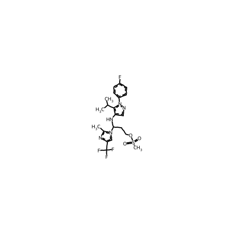 Cc1nc(C(F)(F)F)cn1C(CCOS(C)(=O)=O)Nc1cnn(-c2ccc(F)cc2)c1C(C)C